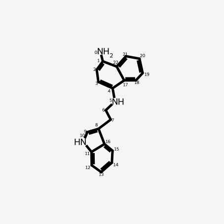 Nc1ccc(NCCc2c[nH]c3ccccc23)c2ccccc12